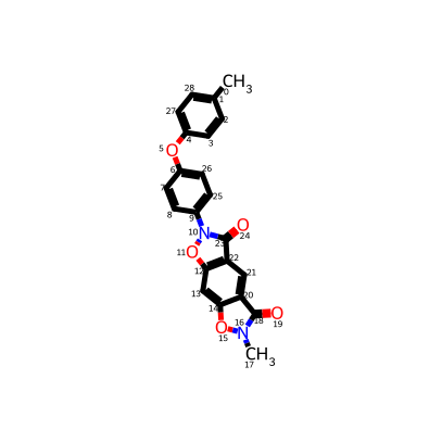 Cc1ccc(Oc2ccc(-n3oc4cc5on(C)c(=O)c5cc4c3=O)cc2)cc1